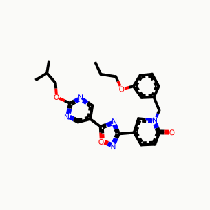 CCCOc1cccc(Cn2cc(-c3noc(-c4cnc(OCC(C)C)nc4)n3)ccc2=O)c1